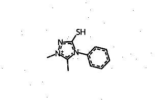 Cc1n(-c2ccccc2)c(S)n[n+]1C